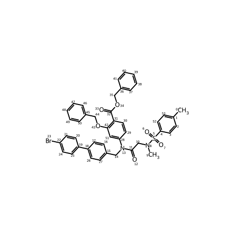 Cc1ccc(S(=O)(=O)N(C)CC(=O)N(Cc2ccc(-c3ccc(Br)cc3)cc2)c2ccc(C(=O)OCc3ccccc3)c(OCc3ccccc3)c2)cc1